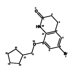 O=C1CCc2cc(Br)cc(OCC3CCCC3)c2N1